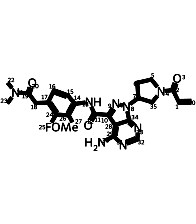 C=CC(=O)N1CCC(n2nc(C(=O)Nc3ccc(CC(=O)N(C)C)c(F)c3OC)c3c(N)ncnc32)C1